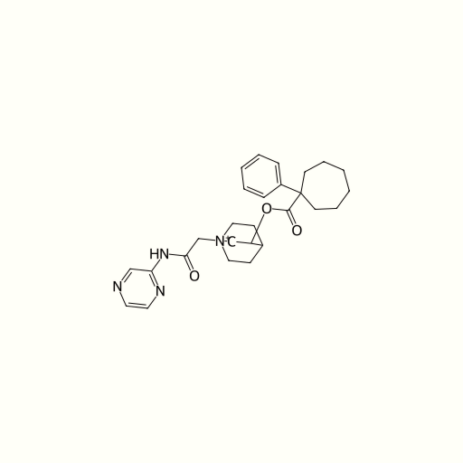 O=C(C[N+]12CCC(CC1)C(OC(=O)C1(c3ccccc3)CCCCCC1)C2)Nc1cnccn1